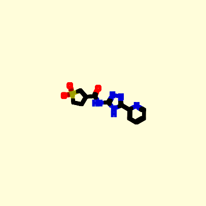 O=C(Nc1nnc(-c2ccccn2)[nH]1)C1CCS(=O)(=O)C1